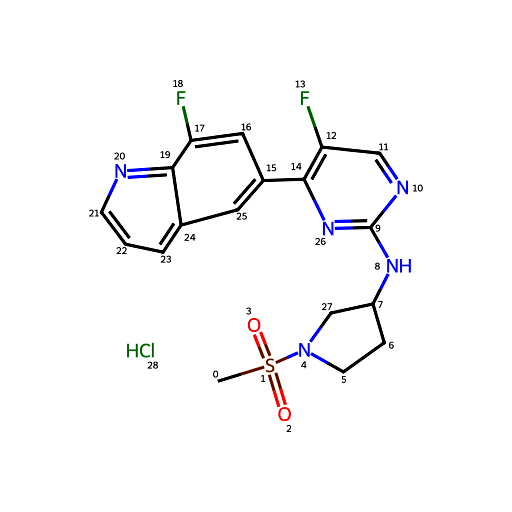 CS(=O)(=O)N1CCC(Nc2ncc(F)c(-c3cc(F)c4ncccc4c3)n2)C1.Cl